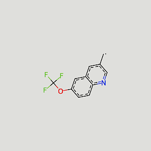 [CH2]c1cnc2ccc(OC(F)(F)F)cc2c1